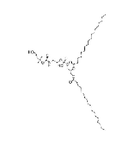 CCCCCCCCCCCCCCCCCC(=O)OCC(COP(=O)(O)OCCNC(=O)OC(C)(C)CCO)OC(=O)CCCCCCCCCCCCCCCCC